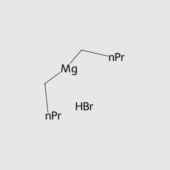 Br.CCC[CH2][Mg][CH2]CCC